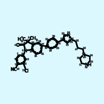 CC1(C)C(=O)N(c2ccc(C#N)c(Cl)c2)c2ccc(-c3ccc(-c4cnn(CCCN5CCNCC5)c4)cc3)cc21